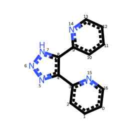 c1ccc(-c2nn[nH]c2-c2ccccn2)nc1